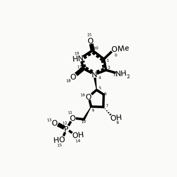 COc1c(N)n([C@H]2C[C@H](O)[C@@H](COP(=O)(O)O)O2)c(=O)[nH]c1=O